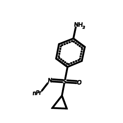 CCCN=S(=O)(c1ccc(N)cc1)C1CC1